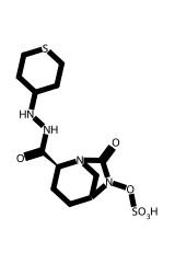 O=C(NNC1CCSCC1)[C@@H]1CCC2CN1C(=O)N2OS(=O)(=O)O